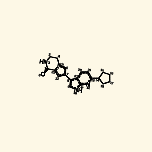 O=C1NCCn2cc(-c3c[nH]c4nc(C5CCCC5)ccc34)cc21